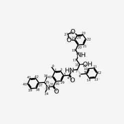 Cc1cc(C(=O)N[C@@H](Cc2ccccc2)[C@H](O)CNCc2cccc3c2OCO3)cc(C(=O)N(C)[C@H](C)c2ccccc2)c1